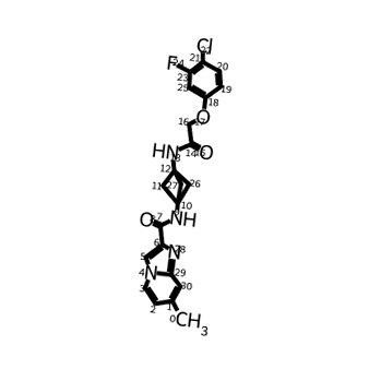 Cc1ccn2cc(C(=O)NC34CC(NC(=O)COc5ccc(Cl)c(F)c5)(C3)C4)nc2c1